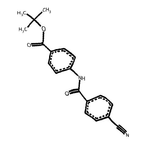 CC(C)(C)OC(=O)c1ccc(NC(=O)c2ccc(C#N)cc2)cc1